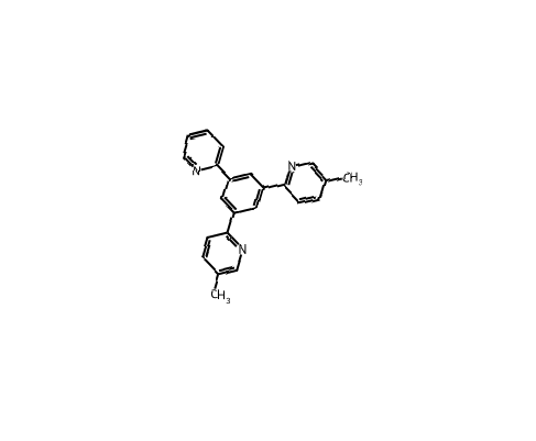 Cc1ccc(-c2cc(-c3ccccn3)cc(-c3ccc(C)cn3)c2)nc1